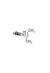 CCCCC.Cl.Cl.Cl.Cl.[Ti]